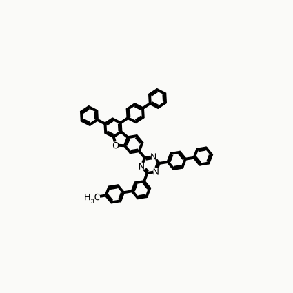 Cc1ccc(-c2cccc(-c3nc(-c4ccc(-c5ccccc5)cc4)nc(-c4ccc5c(c4)oc4cc(-c6ccccc6)cc(-c6ccc(-c7ccccc7)cc6)c45)n3)c2)cc1